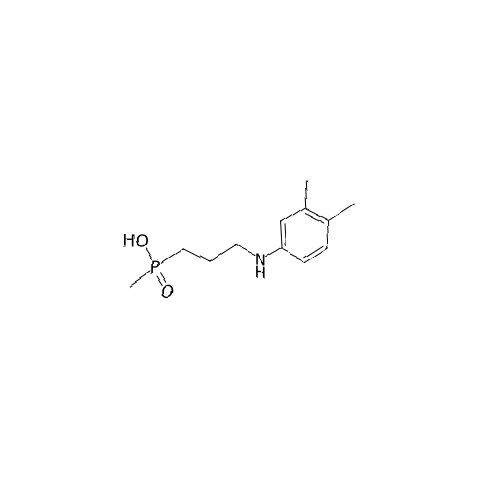 Cc1ccc(NCCCP(C)(=O)O)cc1C